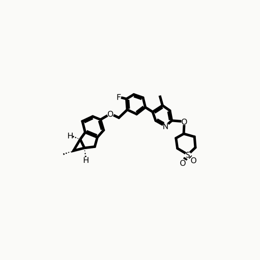 Cc1cc(OC2CCS(=O)(=O)CC2)ncc1-c1ccc(F)c(COc2ccc3c(c2)C[C@H]2[C@H](C)[C@@H]32)c1